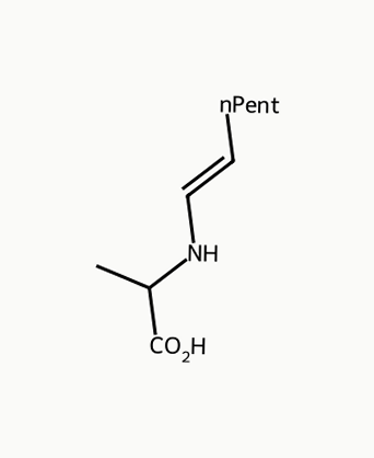 CCCCCC=CNC(C)C(=O)O